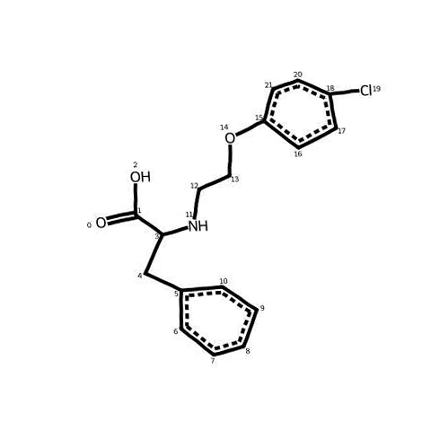 O=C(O)C(Cc1ccccc1)NCCOc1ccc(Cl)cc1